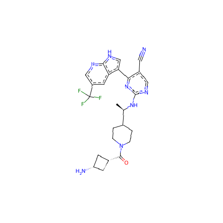 C[C@@H](Nc1ncc(C#N)c(-c2c[nH]c3ncc(C(F)(F)F)cc23)n1)C1CCN(C(=O)[C@H]2C[C@@H](N)C2)CC1